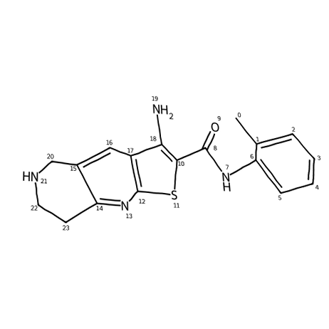 Cc1ccccc1NC(=O)c1sc2nc3c(cc2c1N)CNCC3